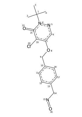 CC(C)(C)n1ncc(OCc2ccc(CN=O)cc2)c(Cl)c1=O